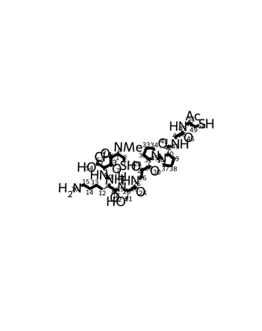 CN[C@@H](CS)C(=O)C(=O)[C@@H](NN[C@@H](CCCCN)C(=O)N[C@@H](CO)C(=O)NCC(=O)C(=O)[C@@H]1CCCN1N1CCC[C@H]1C(=O)NCC(=O)N[C@@H](CS)C(C)=O)[C@@H](C)O